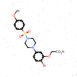 CC(C)Oc1ccc(S(=O)(=O)N2CCN(c3ccc(Br)c(OCC(=O)O)c3)CC2)cc1